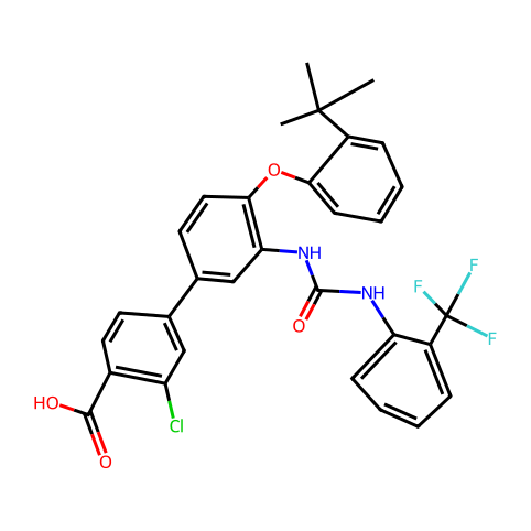 CC(C)(C)c1ccccc1Oc1ccc(-c2ccc(C(=O)O)c(Cl)c2)cc1NC(=O)Nc1ccccc1C(F)(F)F